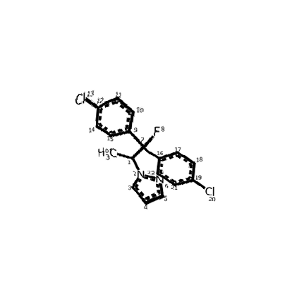 CC(n1cccn1)C(F)(c1ccc(Cl)cc1)c1ccc(Cl)cc1